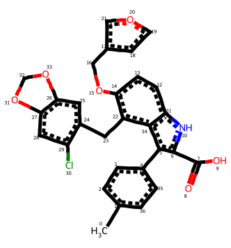 Cc1ccc(-c2c(C(=O)O)[nH]c3ccc(OCc4ccoc4)c(Cc4cc5c(cc4Cl)OCO5)c23)cc1